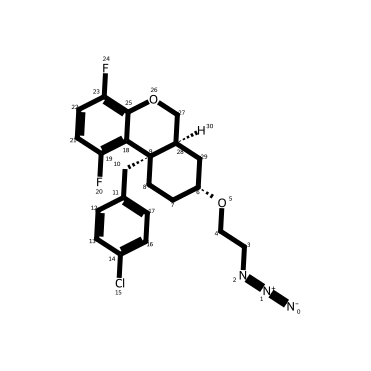 [N-]=[N+]=NCCO[C@@H]1CC[C@@]2(Cc3ccc(Cl)cc3)c3c(F)ccc(F)c3OC[C@H]2C1